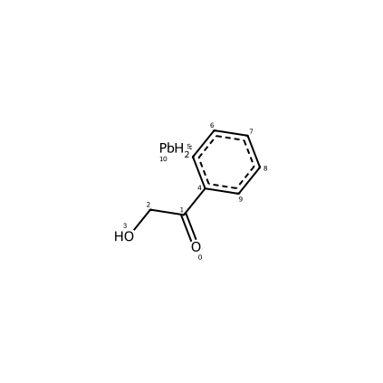 O=C(CO)c1ccccc1.[PbH2]